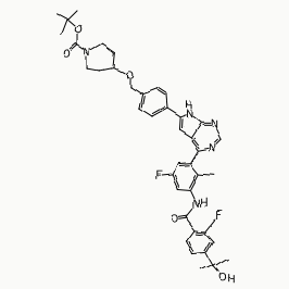 Cc1c(NC(=O)c2ccc(C(C)(C)O)cc2F)cc(F)cc1-c1ncnc2[nH]c(-c3ccc(COC4CCN(C(=O)OC(C)(C)C)CC4)cc3)cc12